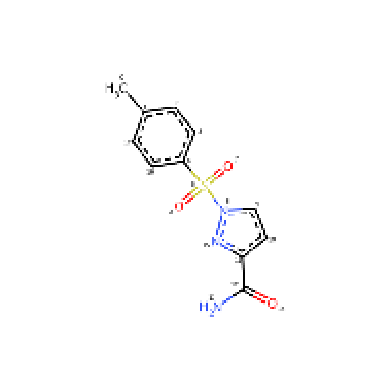 Cc1ccc(S(=O)(=O)n2ccc(C(N)=O)n2)cc1